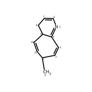 CC1C=CC2=NC=CCC2C=C1